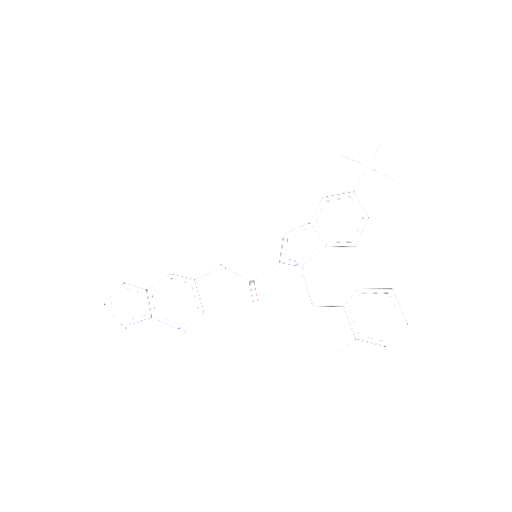 C[Si](C)(C)c1ccc2c(c1)cc(C(=O)Nc1cnc3[nH]ccc3c1)n2Cc1ccccc1C(F)(F)F